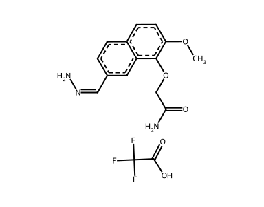 COc1ccc2ccc(/C=N\N)cc2c1OCC(N)=O.O=C(O)C(F)(F)F